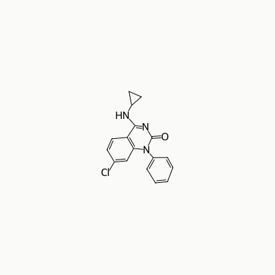 O=c1nc(NC2CC2)c2ccc(Cl)cc2n1-c1ccccc1